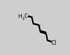 CCC[CH]C=CCCl